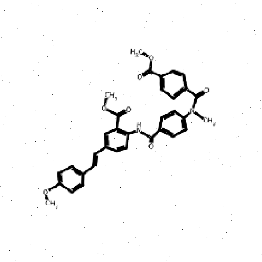 COC(=O)c1ccc(C(=O)N(C)c2ccc(C(=O)Nc3ccc(C=Cc4ccc(OC)cc4)cc3C(=O)OC)cc2)cc1